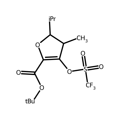 CC(C)C1OC(C(=O)OC(C)(C)C)=C(OS(=O)(=O)C(F)(F)F)C1C